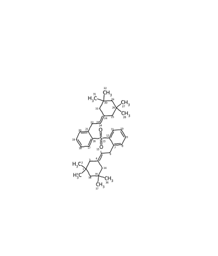 CC1(C)CC(=CCc2ccccc2S(=O)(=O)c2ccccc2CC=C2CC(C)(C)CC(C)(C)C2)CC(C)(C)C1